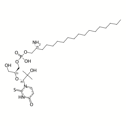 CCCCCCCCCCCCCCCC[C@@H](N)COP(=O)(O)OC[C@H](CO)O[C@@H](n1ccc(=O)[nH]c1=S)C(C)(C)O